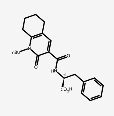 CCCCn1c2c(cc(C(=O)N[C@@H](Cc3ccccc3)C(=O)O)c1=O)CCCC2